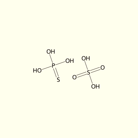 O=S(=O)(O)O.OP(O)(O)=S